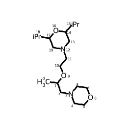 CC(CN1CCOCC1)OCCN1CC(C(C)C)OC(C(C)C)C1